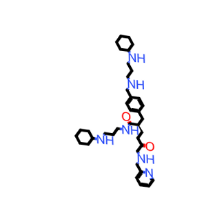 O=C(CC[C@H](Cc1ccc(CNCCCNC2CCCCC2)cc1)C(=O)NCCCNC1CCCCC1)CNCc1ccccn1